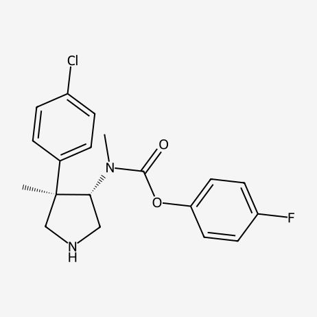 CN(C(=O)Oc1ccc(F)cc1)[C@@H]1CNC[C@@]1(C)c1ccc(Cl)cc1